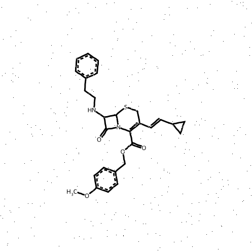 COc1ccc(COC(=O)C2=C(/C=C/C3CC3)CSC3C(NCCc4ccccc4)C(=O)N23)cc1